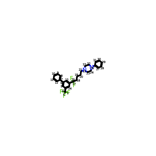 FC(F)(F)c1cc(-c2ccccc2)cc(C(F)(F)CCCCN2CCN(c3ccccc3)CC2)c1